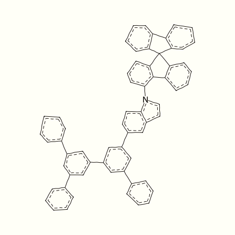 c1ccc(-c2cc(-c3ccccc3)cc(-c3cc(-c4ccccc4)cc(-c4ccc5c(ccn5-c5cccc6c5-c5ccccc5C65c6ccccc6-c6ccccc65)c4)c3)c2)cc1